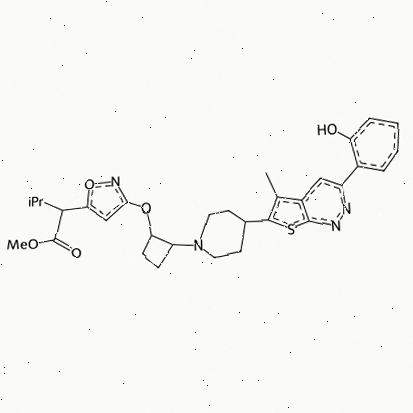 COC(=O)C(c1cc(OC2CCC2N2CCC(c3sc4nnc(-c5ccccc5O)cc4c3C)CC2)no1)C(C)C